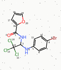 O=C(NC(Nc1ccc(Br)cc1)C(Cl)(Cl)Cl)c1ccco1